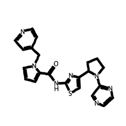 O=C(Nc1nc(C2CCCN2c2cnccn2)cs1)c1cccn1Cc1ccncc1